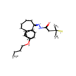 CC(C)(S)CC(=O)N/N=C1/CCCCc2cc(OCCCC(=O)O)ccc21